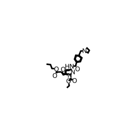 CCCOC(=O)c1cc2c(o1)c(NC(=O)c1ccc(CN3CCC3)cc1)nn2C(=O)OCC